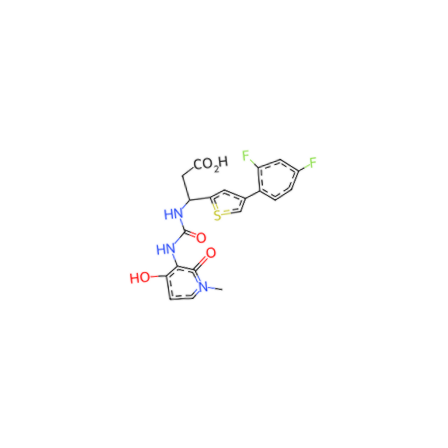 Cn1ccc(O)c(NC(=O)NC(CC(=O)O)c2cc(-c3ccc(F)cc3F)cs2)c1=O